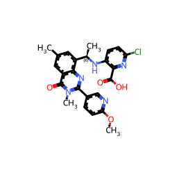 COc1ccc(-c2nc3c([C@@H](C)Nc4ccc(Cl)nc4C(=O)O)cc(C)cc3c(=O)n2C)cn1